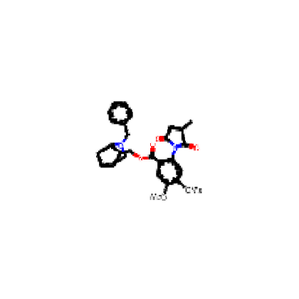 COc1cc(C(=O)OCC2C3CCC2N(Cc2ccccc2)C3)c(N2C(=O)CC(C)C2=O)cc1OC